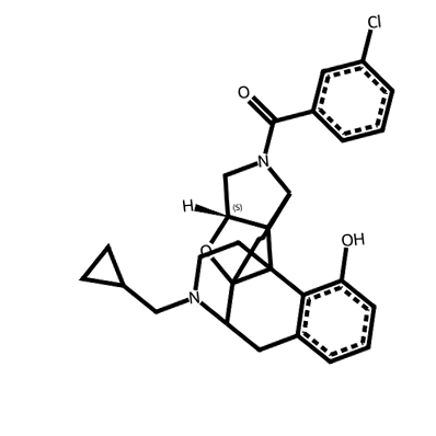 O=C(c1cccc(Cl)c1)N1C[C@H]2OC34CCC1C2C31CCN(CC2CC2)C4Cc2cccc(O)c21